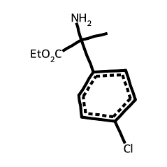 CCOC(=O)C(C)(N)c1ccc(Cl)cc1